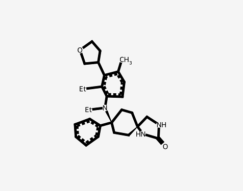 CCc1c(N(CC)[C@]2(c3ccccc3)CC[C@@]3(CC2)CNC(=O)N3)ccc(C)c1C1CCOC1